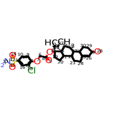 C#C[C@]1(OC(=O)COc2ccc(S(N)(=O)=O)cc2Cl)CCC2C3CCC4=CC(=O)CCC4C3CC[C@@]21CC